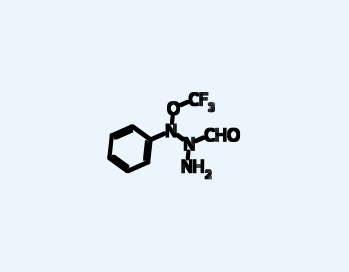 NN(C=O)N(OC(F)(F)F)c1ccccc1